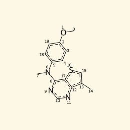 COc1ccc(N(C)c2ncnc3c(C)csc23)cc1